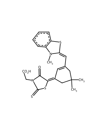 CN1C(=CC2=CC(=C3SC(=S)N(CC(=O)O)C3=O)CC(C)(C)C2)Sc2ccccc21